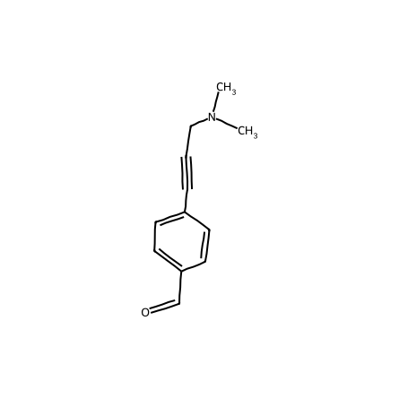 CN(C)CC#Cc1ccc(C=O)cc1